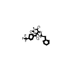 CN1C(=O)C2=NC(Cc3ccccc3)=NC2(C(=O)c2ccc(C(F)(F)F)cc2)N(C)C1=O